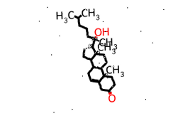 CC(C)CCC[C@](C)(O)[C@H]1CCC2C3CC=C4CC(=O)CC[C@]4(C)C3CC[C@@]21C